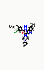 COc1ccc(CNc2c(C(=O)N3CCN(C4CCCC4)CC3)cnc3ccc(C#N)cc23)cc1Cl